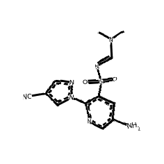 CN(C)C=NS(=O)(=O)c1cc(N)cnc1-n1cc(C#N)cn1